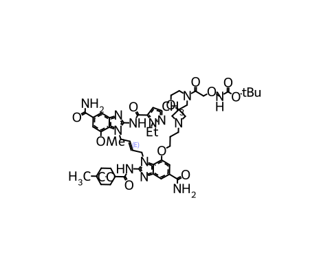 CCn1nc(C)cc1C(=O)Nc1nc2cc(C(N)=O)cc(OC)c2n1C/C=C/Cn1c(NC(=O)C23CCC(C)(CC2)CC3)nc2cc(C(N)=O)cc(OCCCN3CC4(C3)CN(C(=O)CONC(=O)OC(C)(C)C)CCO4)c21